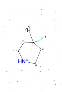 [2H]C1(F)CCNCC1